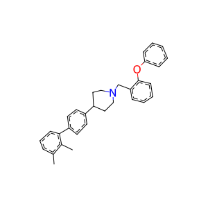 Cc1cccc(-c2ccc(C3CCN(Cc4ccccc4Oc4ccccc4)CC3)cc2)c1C